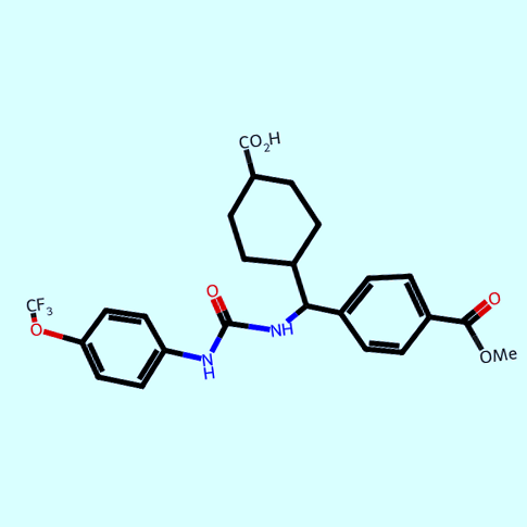 COC(=O)c1ccc(C(NC(=O)Nc2ccc(OC(F)(F)F)cc2)C2CCC(C(=O)O)CC2)cc1